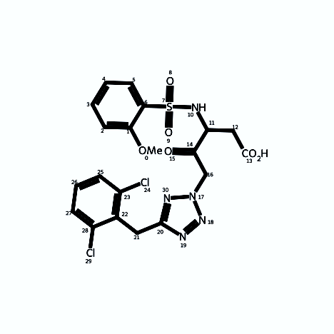 COc1ccccc1S(=O)(=O)NC(CC(=O)O)C(=O)Cn1nnc(Cc2c(Cl)cccc2Cl)n1